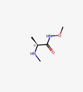 CN[C@@H](C)C(=O)NOC